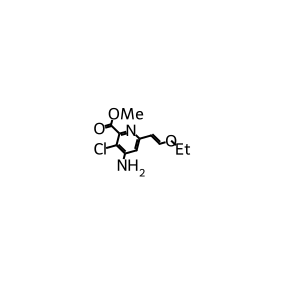 CCOC=Cc1cc(N)c(Cl)c(C(=O)OC)n1